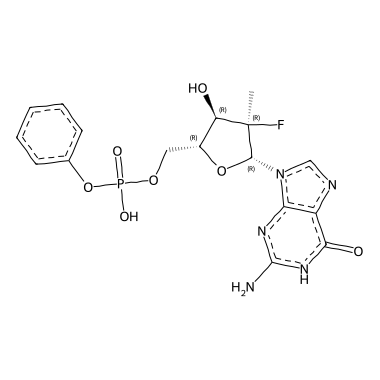 C[C@@]1(F)[C@H](O)[C@@H](COP(=O)(O)Oc2ccccc2)O[C@H]1n1cnc2c(=O)[nH]c(N)nc21